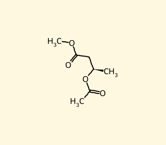 COC(=O)C[C@@H](C)OC(C)=O